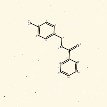 O=C(OCc1ccc(Cl)cc1)c1cccnc1